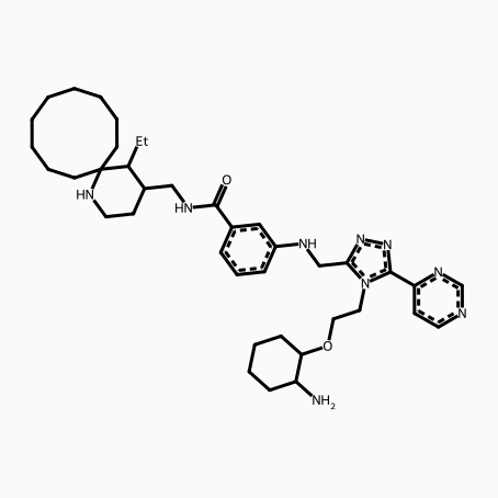 CCC1C(CNC(=O)c2cccc(NCc3nnc(-c4ccncn4)n3CCOC3CCCCC3N)c2)CCNC12CCCCCCCCC2